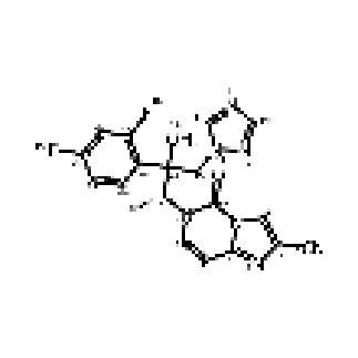 C[C@@H](n1ccc2nc(C#N)cn2c1=O)C(O)(Cn1cncn1)c1ccc(F)cc1F